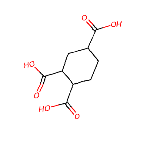 O=C(O)C1CCC(C(=O)O)C(C(=O)O)C1